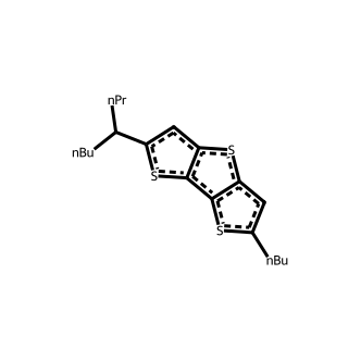 CCCCc1cc2sc3cc(C(CCC)CCCC)sc3c2s1